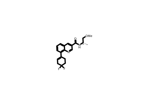 COC[C@H](C)NC(=O)c1cnc2c(C3=CCC(F)(F)CC3)cccc2c1